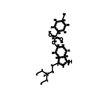 CCN(CC)CCc1c[nH]c2ccc(OS(=O)(=O)c3ccc(C)cc3)cc12